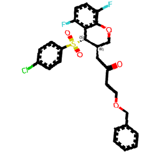 O=C(CCOCc1ccccc1)C[C@@H]1COc2c(F)ccc(F)c2[C@H]1S(=O)(=O)c1ccc(Cl)cc1